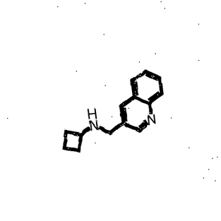 c1ccc2ncc(CNC3CCC3)cc2c1